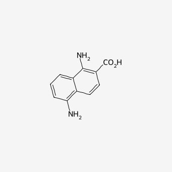 Nc1cccc2c(N)c(C(=O)O)ccc12